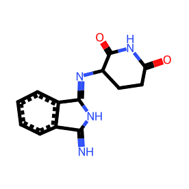 N=C1N/C(=N\C2CCC(=O)NC2=O)c2ccccc21